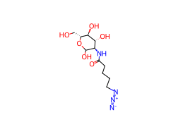 [N-]=[N+]=NCCCCC(=O)N[C@H]1C(O)O[C@H](CO)[C@@H](O)[C@@H]1O